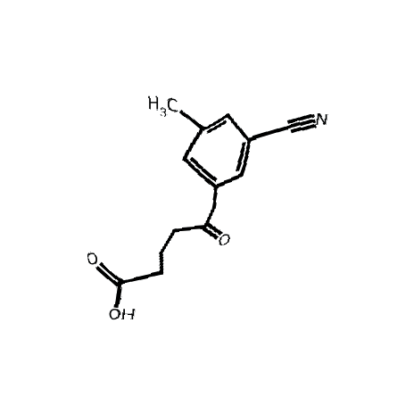 Cc1cc(C#N)cc(C(=O)CCC(=O)O)c1